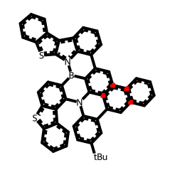 CC(C)(C)c1ccc(N2c3cc(-c4ccccc4)cc4c3B(c3ccc5sc6ccccc6c5c32)n2c3sc5ccccc5c3c3cccc-4c32)c(-c2ccccc2)c1